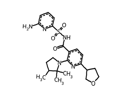 CC1CCN(c2nc(C3CCOC3)ccc2C(=O)NS(=O)(=O)c2cccc(N)n2)C1(C)C